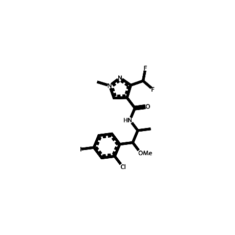 COC(c1ccc(I)cc1Cl)C(C)NC(=O)c1cn(C)nc1C(F)F